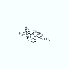 CCOC[C@@H](C)[C@@H](c1ccco1)N(C)C(=O)OC(C)(C)C